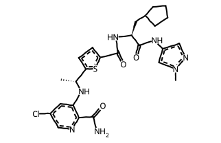 C[C@@H](Nc1cc(Cl)cnc1C(N)=O)c1ccc(C(=O)N[C@@H](CC2CCCC2)C(=O)Nc2cnn(C)c2)s1